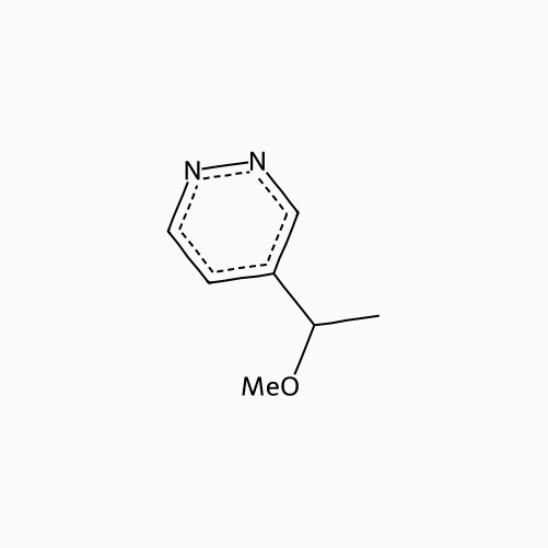 COC(C)c1ccnnc1